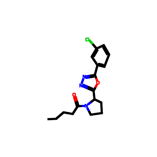 CCCCC(=O)N1CCCC1c1nnc(-c2cccc(Cl)c2)o1